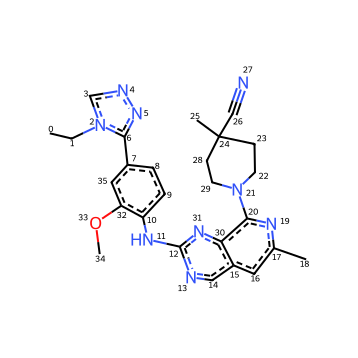 CCn1cnnc1-c1ccc(Nc2ncc3cc(C)nc(N4CCC(C)(C#N)CC4)c3n2)c(OC)c1